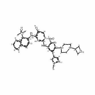 COc1nc(N2CCN(C3COC3)CC2)c(-c2cnn(C)c2)cc1Nc1ncc(Cl)c(Nc2ccc3nccnc3c2P(C)(C)=O)n1